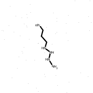 CCCCCCNNNN